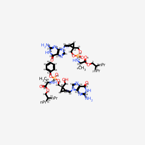 CCCC(CCC)COC(=O)[C@H](C)NP1(=O)OCC2(CO1)C/C2=C/n1cnc2c(=O)[nH]c(N)nc21.CCCC(CCC)COC(=O)[C@H](C)N[P@](=O)(OC[C@]1(CO)C/C1=C/n1cnc2c(=O)[nH]c(N)nc21)Oc1ccccc1